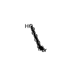 OCCOCCOCCOCCOCCOCCOc1ccc(Br)cn1